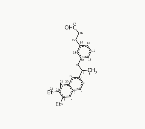 CCc1cc2ccc(C(C)Cc3cccc(CCC=O)c3)cc2nc1CC